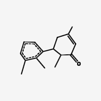 CC1=CC(=O)C(C)C(c2cccc(C)c2C)C1